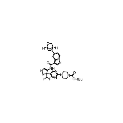 CC(C)(C)OC(=O)N1CCN(c2ncc(C3(C(F)F)N=NC=C3NC(=O)c3cnn4ccc(N5C[C@H]6C[C@@H]5CO6)nc34)cn2)CC1